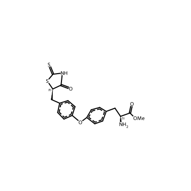 COC(=O)[C@@H](N)Cc1ccc(Oc2ccc(C[C@H]3SC(=S)NC3=O)cc2)cc1